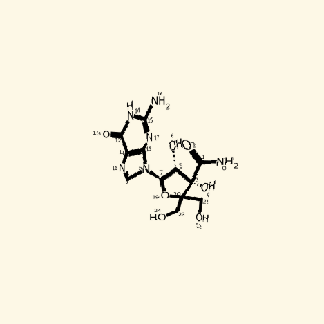 NC(=O)[C@]1(O)[C@@H](O)[C@H](n2cnc3c(=O)[nH]c(N)nc32)OC1(CO)CO